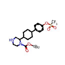 CC(C)(C)OC(=O)N1CCNCC1C1CCC(c2ccc(OS(=O)(=O)C(F)(F)F)cc2)CC1